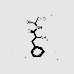 CC[C@H](C)[C@@H]([C]=O)NC(=O)[C@@H](N)Cc1ccccc1